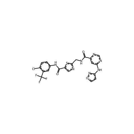 O=C(NCc1ncc(C(=O)Nc2ccc(Cl)c(C(F)(F)F)c2)s1)c1cc(Nc2ccon2)ncn1